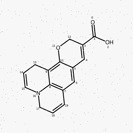 O=C(O)C1=Cc2cc3c4c(c2OC1)CC=CN4CC=C3